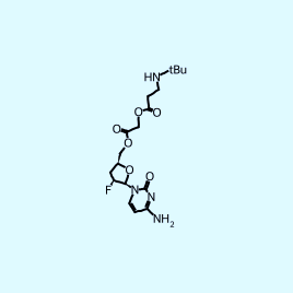 CC(C)(C)NCCC(=O)OCC(=O)OC[C@@H]1C[C@H](F)[C@H](n2ccc(N)nc2=O)O1